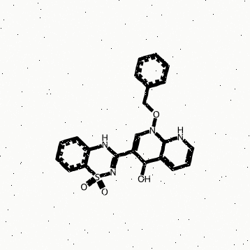 O=S1(=O)N=C(C2=CN(OCc3ccccc3)C3NC=CC=C3C2O)Nc2ccccc21